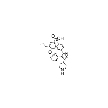 CCCc1cc(C(=O)O)ccc1Oc1nccc(-c2c(-c3ccc(F)cc3)ncn2C2CCNCC2)n1